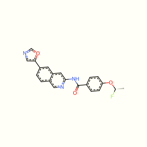 C[C@H](F)Oc1ccc(C(=O)Nc2cc3cc(-c4cnco4)ccc3cn2)cc1